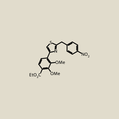 CCOC(=O)c1ccc(-c2csc(Cc3ccc([N+](=O)[O-])cc3)n2)c(OC)c1OC